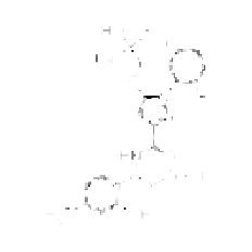 Cc1ccc(C(CC(=O)O)NC(=O)c2cc(OCC(C)(O)C(C)(C)C)n(-c3ccccc3F)n2)c(C)c1